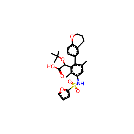 Cc1cc(NS(=O)(=O)c2ccco2)c(C)c(C(OC(C)(C)C)C(=O)O)c1-c1ccc2c(c1)CCCO2